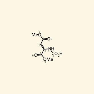 COC(=O)C=C(NC(=O)O)C(=O)OC